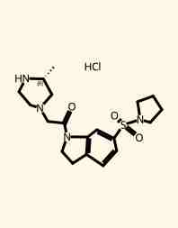 C[C@@H]1CN(CC(=O)N2CCc3ccc(S(=O)(=O)N4CCCC4)cc32)CCN1.Cl